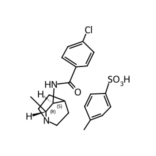 C[C@@H]1[C@@H](NC(=O)c2ccc(Cl)cc2)C2CCN1CC2.Cc1ccc(S(=O)(=O)O)cc1